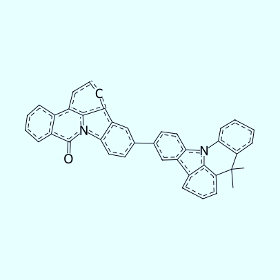 CC1(C)c2ccccc2-n2c3ccc(-c4ccc5c(c4)c4cccc6c7ccccc7c(=O)n5c64)cc3c3cccc1c32